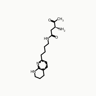 CC(=O)[C@@H](N)CC(=O)NCCCCc1ccc2c(n1)NCCC2